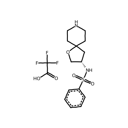 O=C(O)C(F)(F)F.O=S(=O)(N[C@@H]1COC2(CCNCC2)C1)c1ccccc1